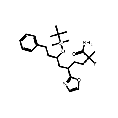 CC(F)(CCC(CC([CH]Cc1ccccc1)O[Si](C)(C)C(C)(C)C)c1ncco1)C(N)=O